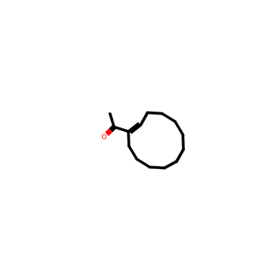 CC(=O)/C1=C\CCCCCCCCCC1